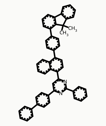 CC1(C)c2ccccc2-c2cccc(-c3ccc(-c4ccc(-c5cc(-c6ccc(-c7ccccc7)cc6)nc(-c6ccccc6)n5)c5ccccc45)cc3)c21